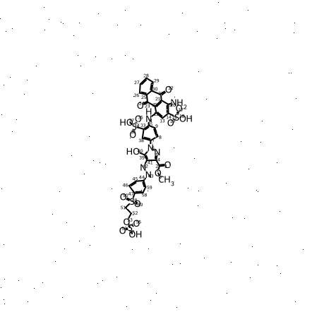 COC(=O)c1nn(-c2ccc(Nc3cc(S(=O)(=O)O)c(N)c4c3C(=O)c3ccccc3C4=O)c(S(=O)(=O)O)c2)c(O)c1/N=N/c1ccc(S(=O)(=O)CCOS(=O)(=O)O)cc1